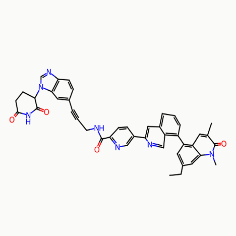 CCc1cc(-c2cccc3cc(-c4ccc(C(=O)NCC#Cc5ccc6ncn(C7CCC(=O)NC7=O)c6c5)nc4)ncc23)c2cc(C)c(=O)n(C)c2c1